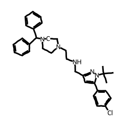 CC(C)(C)n1nc(CNCCN2CCN(C(c3ccccc3)c3ccccc3)CC2)cc1-c1ccc(Cl)cc1